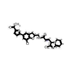 CC(=O)c1ccc(-c2cc(Cl)c3c(c2)CC(CNC(=O)/C=C/C2C(Cl)=NC4=CC=CCN42)O3)s1